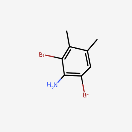 Cc1cc(Br)c(N)c(Br)c1C